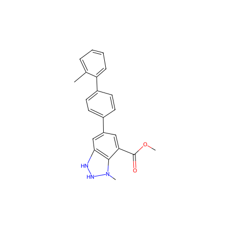 COC(=O)c1cc(-c2ccc(-c3ccccc3C)cc2)cc2c1N(C)NN2